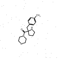 Cc1ccc(CC2(C(=O)N3CC[N]CC3)CCCN2)cc1